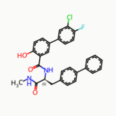 CNC(=O)[C@H](Cc1ccc(-c2ccccc2)cc1)NC(=O)c1cc(-c2ccc(F)c(Cl)c2)ccc1O